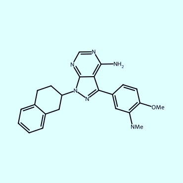 CNc1cc(-c2nn(C3CCc4ccccc4C3)c3ncnc(N)c23)ccc1OC